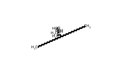 CCCCCCCCCCCCCCCCCCC(CCCCCCCCCCCCCCCCCC)CN(C)C(C)O.O=S(=O)(O)O